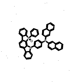 O=P1(c2ccccc2)c2ccccc2-c2ccc3c4ccccc4n(-c4ccc(N(c5ccc6ccccc6c5)c5ccc6ccccc6c5)cc4)c3c21